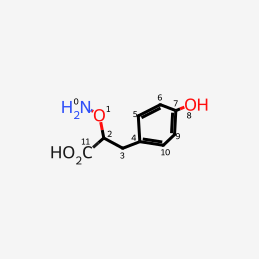 NOC(Cc1ccc(O)cc1)C(=O)O